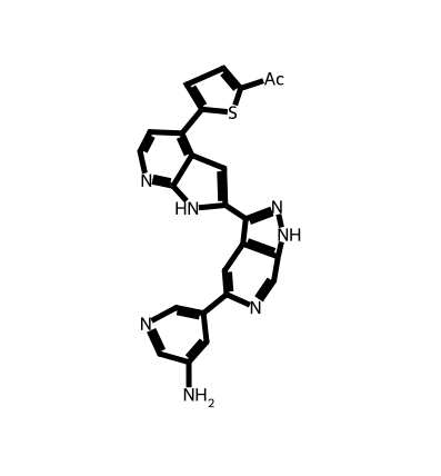 CC(=O)c1ccc(-c2ccnc3[nH]c(-c4n[nH]c5cnc(-c6cncc(N)c6)cc45)cc23)s1